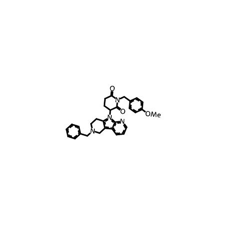 COc1ccc(CN2C(=O)CCC(n3c4c(c5cccnc53)CN(Cc3ccccc3)CC4)C2=O)cc1